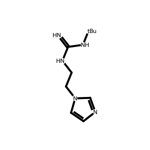 CC(C)(C)NC(=N)NCCn1ccnc1